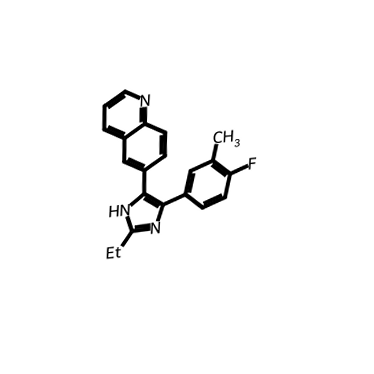 CCc1nc(-c2ccc(F)c(C)c2)c(-c2ccc3ncccc3c2)[nH]1